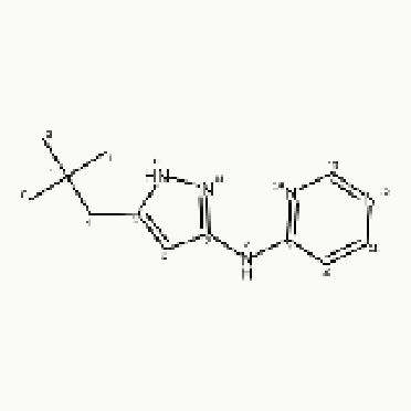 CC(C)(C)Cc1cc(Nc2ccncn2)n[nH]1